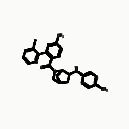 Cc1cnc(NC2CC3CC2N(C(=O)c2ccc(C)nc2-c2ncccc2F)C3)cn1